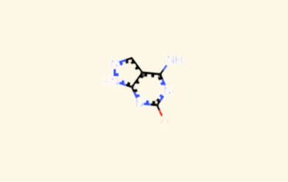 [NH]c1nc(O)nc2[nH]ncc12